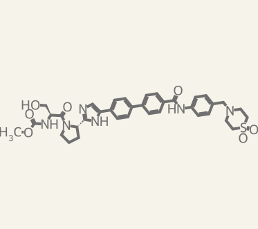 COC(=O)N[C@@H](CO)C(=O)N1CCC[C@H]1c1ncc(-c2ccc(-c3ccc(C(=O)Nc4ccc(CN5CCS(=O)(=O)CC5)cc4)cc3)cc2)[nH]1